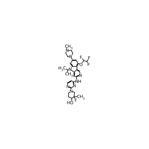 CC(C)n1c2cc(Nc3ccnc(N4CCC(O)C(C)(F)C4)n3)ncc2c2c(OC(F)C(F)F)cc(N3CCN(C)CC3)cc21